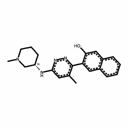 Cc1cc(N[C@H]2CCCN(C)C2)nnc1-c1cc2ccccc2cc1O